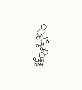 CNC(=O)Nc1ccc2c(c1)CC[C@@]21CC(=O)N(CC(=O)N2Cc3ccccc3CC[C@@H]2C(F)(F)F)C(=O)O1